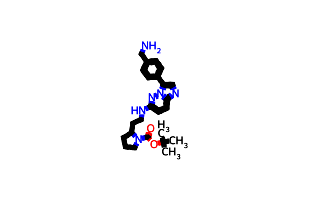 CC(C)(C)OC(=O)N1CCCC1CCNc1ccc2ncc(-c3ccc(CN)cc3)n2n1